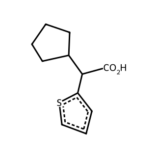 O=C(O)C(c1cccs1)C1CCCC1